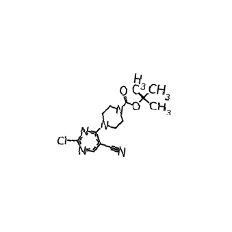 CC(C)(C)OC(=O)N1CCN(c2nc(Cl)ncc2C#N)CC1